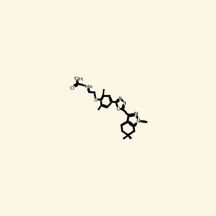 Cc1cc(-c2nnc(-c3nn(C)c4c3CCC(C)(C)C4)o2)cc(C)c1OCCNC(=O)O